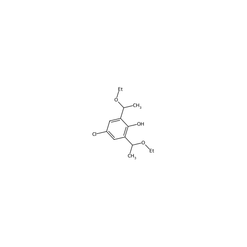 CCOC(C)c1cc(Cl)cc(C(C)OCC)c1O